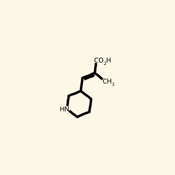 CC(=CC1CCCNC1)C(=O)O